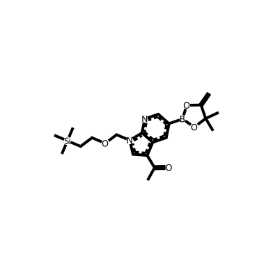 C=C1OB(c2cnc3c(c2)c(C(C)=O)cn3COCC[Si](C)(C)C)OC1(C)C